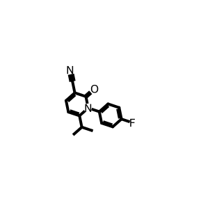 CC(C)c1ccc(C#N)c(=O)n1-c1ccc(F)cc1